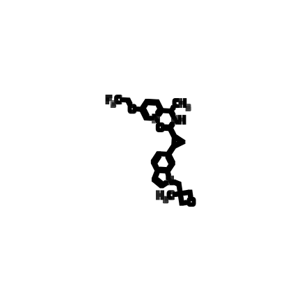 C[C@@H](NC(=O)C1CC1c1ccc2ccn(CC3(C)COC3)c2c1)c1ccc(OCC(F)(F)F)cn1